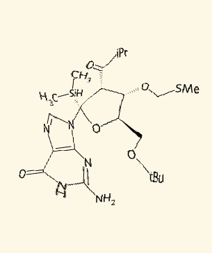 CSCO[C@H]1[C@@H](C(=O)C(C)C)[C@@](n2cnc3c(=O)[nH]c(N)nc32)([SiH](C)C)O[C@@H]1COC(C)(C)C